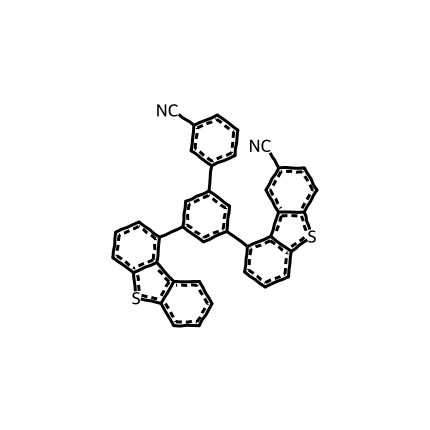 N#Cc1cccc(-c2cc(-c3cccc4sc5ccccc5c34)cc(-c3cccc4sc5ccc(C#N)cc5c34)c2)c1